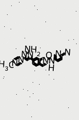 CN1CCN(c2cc(-c3ccc4c(c3)CN(C(=O)Nc3ccc(C#N)nc3)CC4)nc(N)n2)CC1